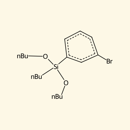 CCCCO[Si](CCCC)(OCCCC)c1cccc(Br)c1